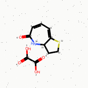 O=C(O)C(=O)O.O=C1C=CC=C2SCCC2N1